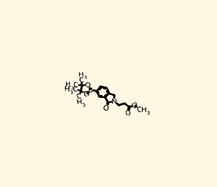 COC(=O)CCN1Cc2ccc(B3OC(C)(C)C(C)(C)O3)cc2C1=O